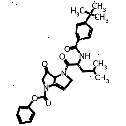 CC(C)CC(NC(=O)c1ccc(C(C)(C)C)cc1)C(=O)N1CC=C2C1C(=O)CN2C(=O)Oc1ccccc1